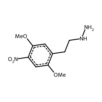 COc1cc([N+](=O)[O-])c(OC)cc1CCNN